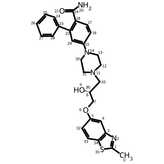 Cc1nc2cc(OC[C@H](O)CN3CCN(c4ccc(C(N)=O)c(-c5ccccc5)c4)CC3)ccc2s1